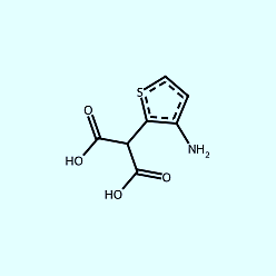 Nc1ccsc1C(C(=O)O)C(=O)O